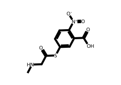 CNCC(=O)Sc1ccc([N+](=O)[O-])c(C(=O)O)c1